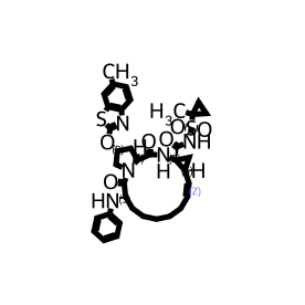 Cc1ccc2nc(O[C@@H]3C[C@H]4C(=O)N[C@]5(C(=O)NS(=O)(=O)C6(C)CC6)C[C@H]5/C=C\CCCCC[C@H](Nc5ccccc5)C(=O)N4C3)sc2c1